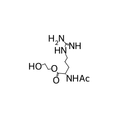 CC(=O)N[C@@H](CCCNC(=N)N)C(=O)OCCO